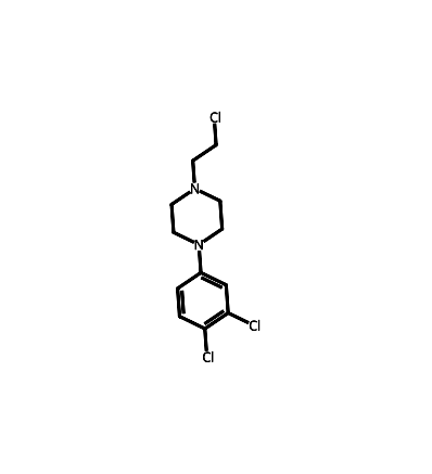 ClCCN1CCN(c2ccc(Cl)c(Cl)c2)CC1